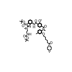 COc1cc(C(=O)N(C)c2ccc(C)cc2OCCCCCC(=O)N2CCN(C)CC2)ccc1C(=O)Nc1cccc2c1nc(N(C)CCNC(=O)OC(C)(C)C)n2C(=O)OC(C)(C)C